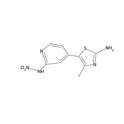 Cc1nc(N)sc1-c1ccnc(N[N+](=O)[O-])c1